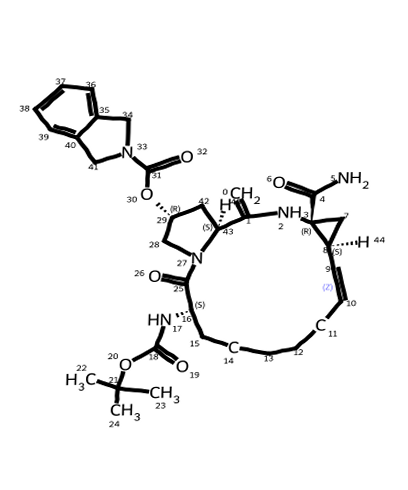 C=C1N[C@]2(C(N)=O)C[C@H]2/C=C\CCCCC[C@H](NC(=O)OC(C)(C)C)C(=O)N2C[C@H](OC(=O)N3Cc4ccccc4C3)C[C@@H]12